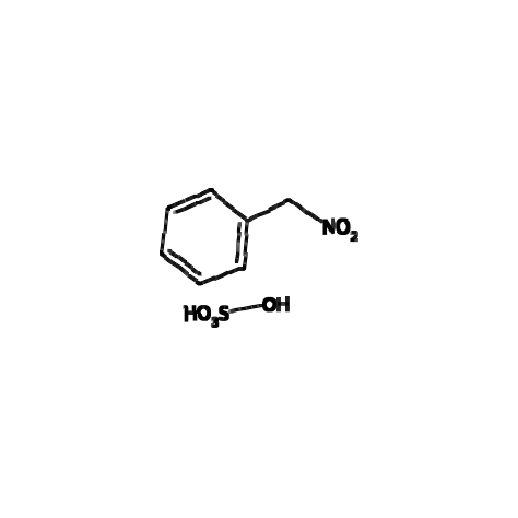 O=S(=O)(O)O.O=[N+]([O-])Cc1ccccc1